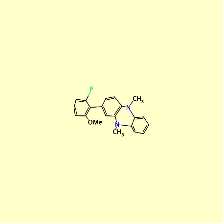 COc1cccc(F)c1-c1ccc2c(c1)N(C)c1ccccc1N2C